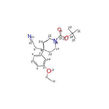 CCOc1cccc(C2(CC#N)CCN(C(=O)OC(C)(C)C)CC2)c1